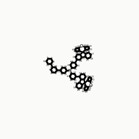 c1ccc(-c2cccc(-c3ccc(N(c4ccc(-c5ccc6c(c5)-c5ccccc5C65c6ccccc6Oc6ccccc65)cc4)c4cccc(-c5cccc6c5-c5ccccc5C65c6ccccc6Oc6ccccc65)c4)cc3)c2)cc1